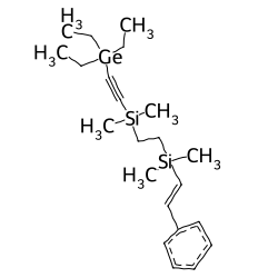 C[CH2][Ge]([C]#C[Si](C)(C)CC[Si](C)(C)C=Cc1ccccc1)([CH2]C)[CH2]C